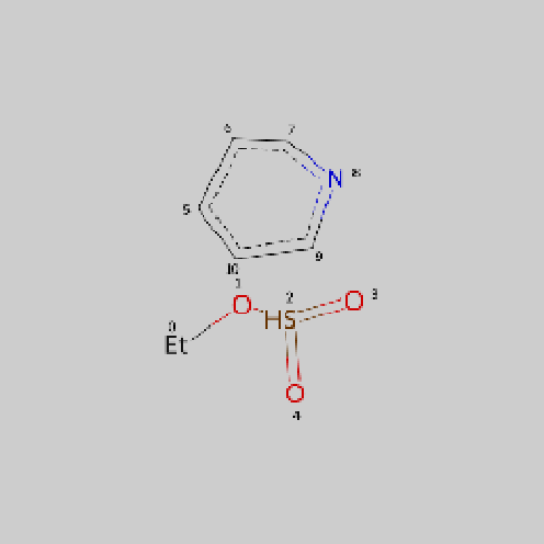 CCO[SH](=O)=O.c1ccncc1